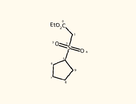 CCOC(=O)CS(=O)(=O)C1CCCC1